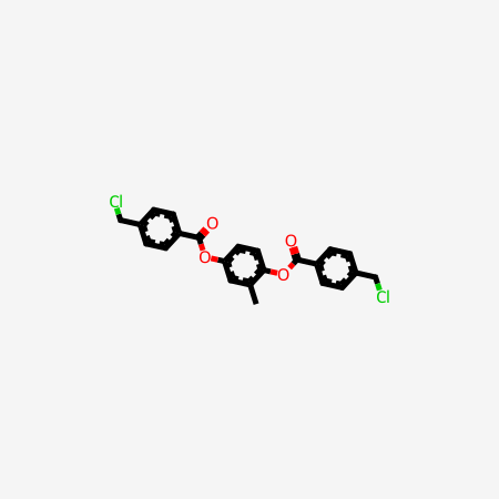 Cc1cc(OC(=O)c2ccc(CCl)cc2)ccc1OC(=O)c1ccc(CCl)cc1